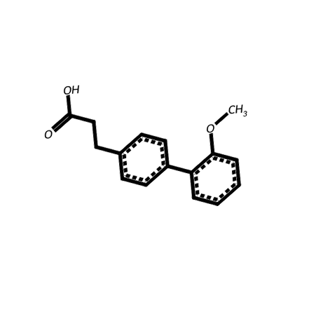 COc1ccccc1-c1ccc(CCC(=O)O)cc1